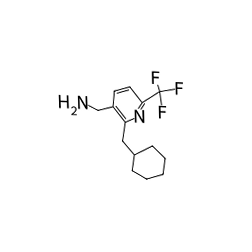 NCc1ccc(C(F)(F)F)nc1CC1CCCCC1